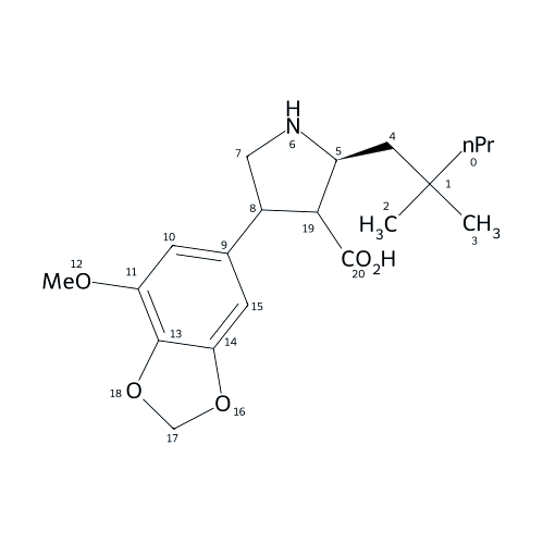 CCCC(C)(C)C[C@@H]1NCC(c2cc(OC)c3c(c2)OCO3)C1C(=O)O